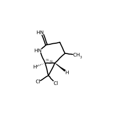 CC1CC(=N)N[C@H]2[C@H]1C2(Cl)Cl